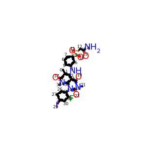 Cc1c(Nc2cccc(S(=O)(=O)CC(N)=O)c2)c2c(=O)n(C)c(=O)n(-c3ccc(I)cc3F)c2n(C)c1=O